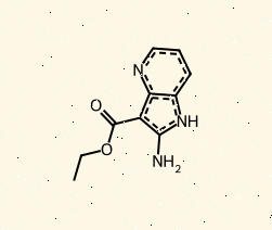 CCOC(=O)c1c(N)[nH]c2cccnc12